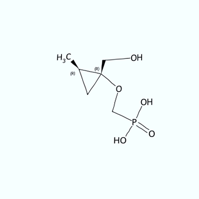 C[C@@H]1C[C@@]1(CO)OCP(=O)(O)O